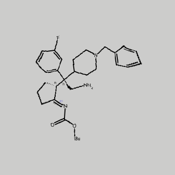 CC(C)(C)OC(=O)/N=C1\CCC[C@@H]1[C@](CN)(c1cccc(F)c1)C1CCN(Cc2ccccc2)CC1